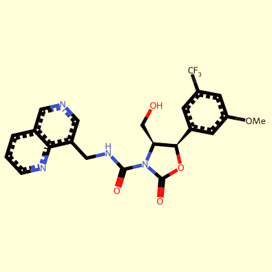 COc1cc([C@H]2OC(=O)N(C(=O)NCc3cncc4cccnc34)[C@H]2CO)cc(C(F)(F)F)c1